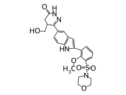 COc1c(-c2cc3cc(C4=NNC(=O)CC4CO)ccc3[nH]2)cccc1S(=O)(=O)N1CCOCC1